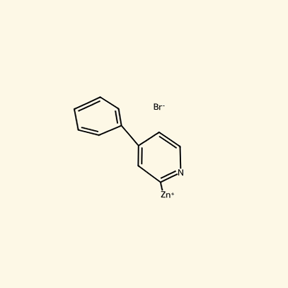 [Br-].[Zn+][c]1cc(-c2ccccc2)ccn1